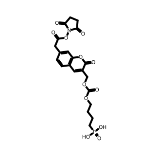 O=C(Cc1ccc2cc(COC(=O)OCCCCP(=O)(O)O)c(=O)oc2c1)ON1C(=O)CCC1=O